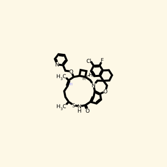 C/C1=C\CCC(C)SNC(=O)c2ccc3c(c2)N(C[C@@H]2CCC2C1OCc1ccccn1)CC1(CCCc2c1ccc(Cl)c2F)CO3